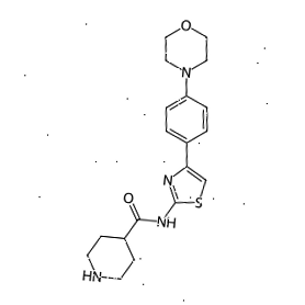 O=C(Nc1nc(-c2ccc(N3CCOCC3)cc2)cs1)C1CCNCC1